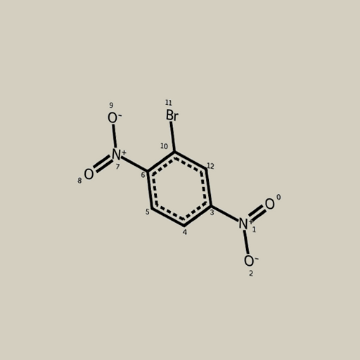 O=[N+]([O-])c1ccc([N+](=O)[O-])c(Br)c1